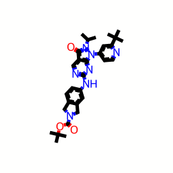 CC(C)n1c(=O)c2cnc(Nc3ccc4c(c3)CN(C(=O)OC(C)(C)C)C4)nc2n1-c1ccnc(C(C)(C)C)c1